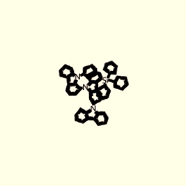 c1ccc(-n2c3ccccc3c3cccc(-n4c5cc(-n6c7ccccc7c7ccccc76)ccc5c5c([Si](c6ccccc6)(c6ccccc6)c6ccccc6)cccc54)c32)cc1